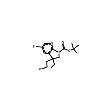 CCC1(CCO)CN(C(=O)OC(C)(C)C)c2ncc(Br)cc21